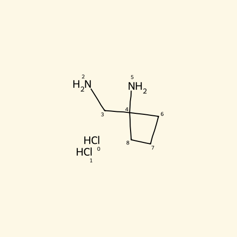 Cl.Cl.NCC1(N)CCC1